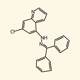 Clc1cc(NN=C(c2ccccc2)c2ccccc2)c2cccnc2c1